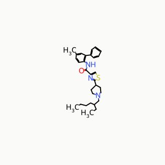 CCCCC(CC)CN1CCC(c2nc(C(=O)Nc3ccc(C)cc3-c3ccccc3)cs2)CC1